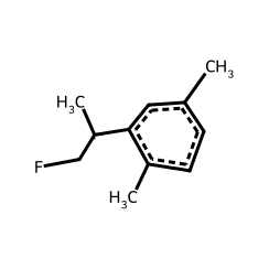 C[C](CF)c1cc(C)ccc1C